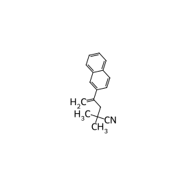 C=C(CC(C)(C)C#N)c1ccc2ccccc2c1